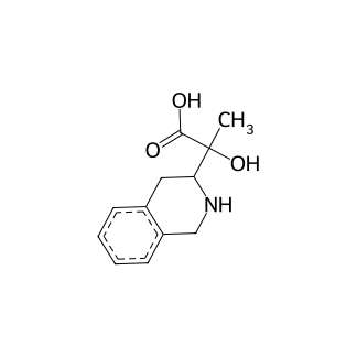 CC(O)(C(=O)O)C1Cc2ccccc2CN1